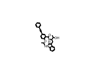 CC(C)Oc1ccc(C#Cc2ccccc2)cc1C(=O)NC(Cc1c[nH]c2ccccc12)C(C)O